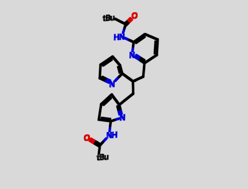 CC(C)(C)C(=O)Nc1cccc(C[C](Cc2cccc(NC(=O)C(C)(C)C)n2)c2ccccn2)n1